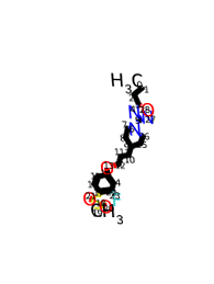 CCCc1nc(N2CCC(CCCOc3ccc(S(C)(=O)=O)c(F)c3)CC2)no1